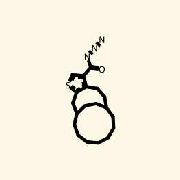 [N-]=[N+]=NC(=O)c1csc2c1CCC1CCCCCCCC(CC1)C2